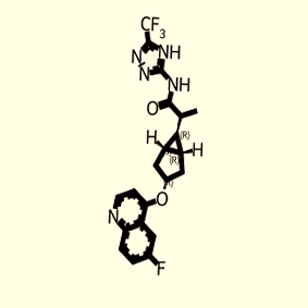 CC(C(=O)Nc1nnc(C(F)(F)F)[nH]1)[C@H]1[C@@H]2C[C@H](Oc3ccnc4ccc(F)cc34)C[C@@H]21